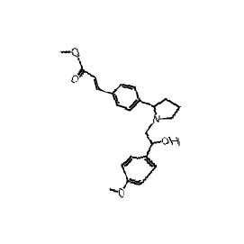 COC(=O)/C=C/c1ccc(C2CCCN2CC(O)c2ccc(OC)cc2)cc1